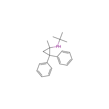 CC(C)(C)PC1(C)CC1(c1ccccc1)c1ccccc1